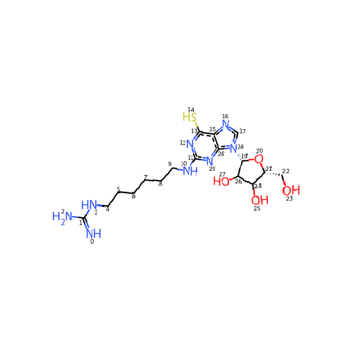 N=C(N)NCCCCCCNc1nc(S)c2ncn([C@@H]3O[C@H](CO)C(O)C3O)c2n1